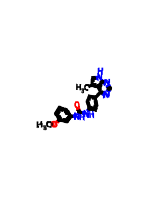 COc1cccc(NC(=O)Nc2ccc(-c3ncnc4[nH]cc(C)c34)cc2)c1